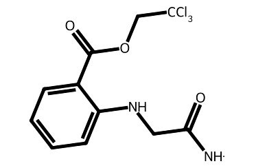 [NH]C(=O)CNc1ccccc1C(=O)OCC(Cl)(Cl)Cl